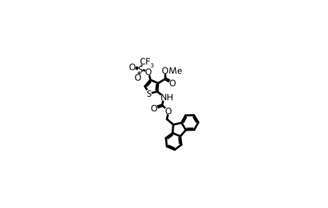 COC(=O)c1c(OS(=O)(=O)C(F)(F)F)csc1NC(=O)OCC1c2ccccc2-c2ccccc21